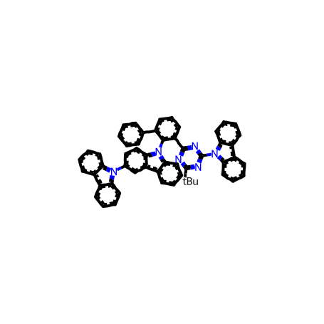 CC(C)(C)c1nc(-c2cccc(-c3ccccc3)c2-n2c3ccccc3c3cc(-n4c5ccccc5c5ccccc54)ccc32)nc(-n2c3ccccc3c3ccccc32)n1